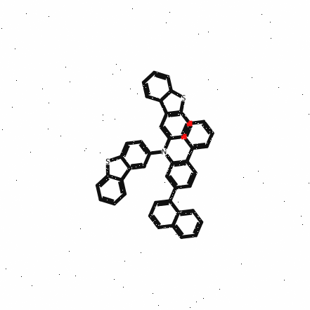 C1=CC2Sc3ccc(N(c4ccc5sc6ccccc6c5c4)c4cc(-c5cccc6ccccc56)ccc4-c4ccccc4)cc3C2C=C1